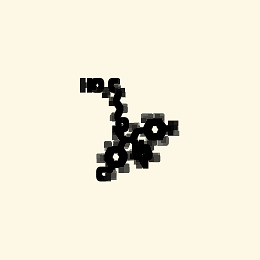 O=C(O)CCCCON=C(c1ccc(Cl)cc1)C(Cc1ccc(F)cc1)n1ccnc1